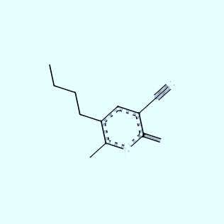 CCCCc1cc(C#N)c(=O)[nH]c1C